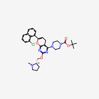 CN1CCC[C@H]1COc1nc2c(c(N3CCN(C(=O)OC(C)(C)C)CC3)n1)CC=C(c1cccc3cccc(Cl)c13)O2